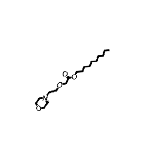 CCCCCCCCCCOC(=O)COCCN1CCOCC1